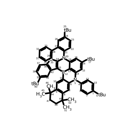 CC(C)(C)c1ccc(N2c3cc4c(cc3B3c5c2cc(C(C)(C)C)cc5N(c2ccc(C(C)(C)C)cc2-c2ccccc2)c2oc5ccc(C(C)(C)C)cc5c23)C(C)(C)CCC4(C)C)cc1